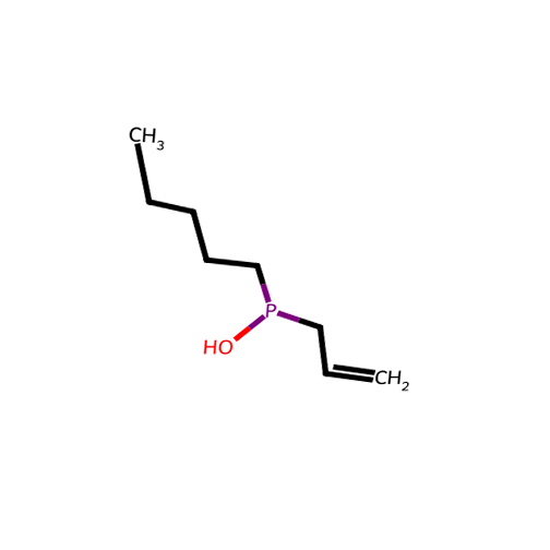 C=CCP(O)CCCCC